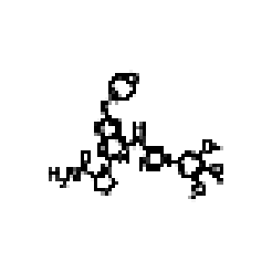 COc1cc(-n2cnc(Nc3nc(N4CCCC4C(N)=O)nc4sc(CN5CCOCC5)cc34)c2)cc(OC)c1OC